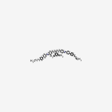 CCCCCc1ccc(C2CCC(/C=C/C3CCC(CCCC(CCCC4CCC(/C=C/C5CCC(c6ccc(CCCCC)cc6)CC5)CC4)c4cc(N)cc(N)c4)CC3)CC2)cc1